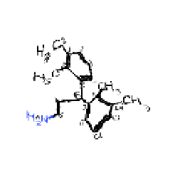 Cc1cccc(C(CCN)c2cccc(C)c2C)c1C